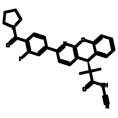 CC(C)(C(=O)NC#N)[C@H]1c2ccccc2Oc2nc(-c3ccc(C(=O)N4CCCC4)c(F)c3)ccc21